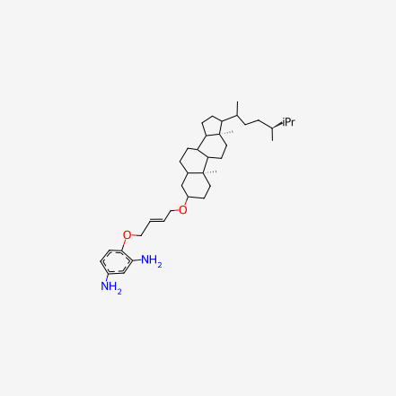 CC(CC[C@H](C)C(C)C)C1CCC2C3CCC4CC(OC/C=C/COc5ccc(N)cc5N)CC[C@]4(C)C3CC[C@]12C